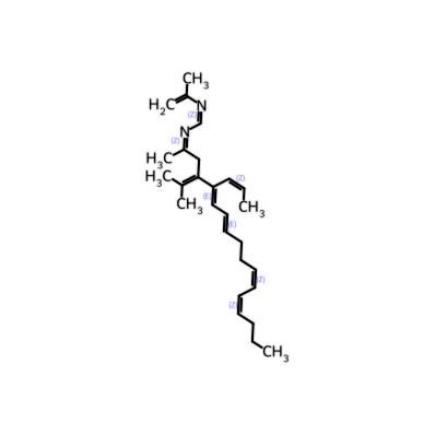 C=C(C)/N=C\N=C(\C)CC(=C(C)C)C(/C=C\C)=C/C=C/CC/C=C\C=C/CCC